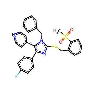 CS(=O)(=O)c1ccccc1CSc1nc(-c2ccc(F)cc2)c(-c2ccncc2)n1Cc1ccccc1